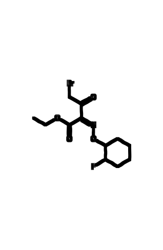 CCOC(=O)C(=NOC1CCCCC1F)C(=O)CBr